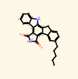 CCCCCc1ccc2c(c1)-c1c3c(c4c([nH]c5ccccc54)c1C2)C(=O)NC3=O